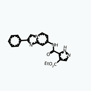 CCOC(=O)c1cn[nH]c1C(=O)Nc1ccn2cc(-c3ccccc3)nc2c1